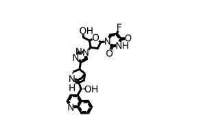 O=c1[nH]c(=O)n(C2CC(n3cc(C4C[N@@]5CCC4C[C@H]5[C@H](O)c4ccnc5ccccc45)nn3)C(CO)O2)cc1F